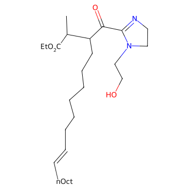 CCCCCCCCC=CCCCCCCC(C(=O)C1=NCCN1CCO)C(C)C(=O)OCC